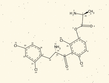 C[C@H](N)C(=O)Oc1ccc(Cl)c(C(=O)[C@@H](N)Cc2ccc(Cl)cc2Cl)c1Cl